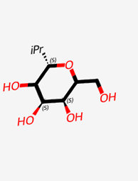 CC(C)[C@@H]1OC(CO)[C@@H](O)[C@@H](O)C1O